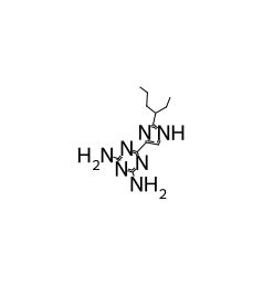 CCCC(CC)c1nc(-c2nc(N)nc(N)n2)c[nH]1